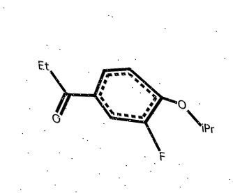 CCC(=O)c1ccc(OC(C)C)c(F)c1